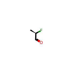 C[C@@H](F)C=O